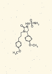 COc1ccc(CCCN2C(=O)N(NS(N)(=O)=O)CC2c2ccc(OC)cc2)cc1